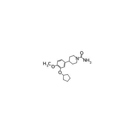 COc1ccc(C2CCN(C(N)=O)CC2)cc1OC1CCCC1